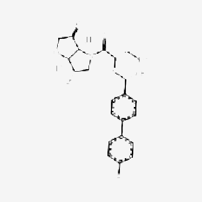 CC(C)C[C@H](N[C@@H](c1ccc(-c2ccc(F)cc2)cc1)C(F)(F)F)C(=O)N1C[C@H](F)[C@H]2OCC(=O)[C@H]21